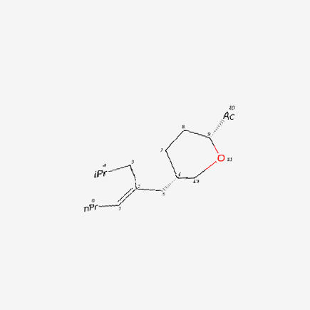 CCC/C=C(\CC(C)C)C[C@@H]1CC[C@H](C(C)=O)OC1